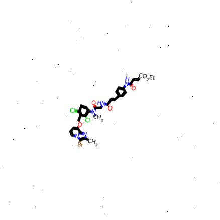 CCOC(=O)/C=C/C(=O)Nc1ccc(C=CC(=O)NCC(=O)N(C)c2ccc(Cl)c(COc3cccn4c(Br)c(C)nc34)c2Cl)cc1